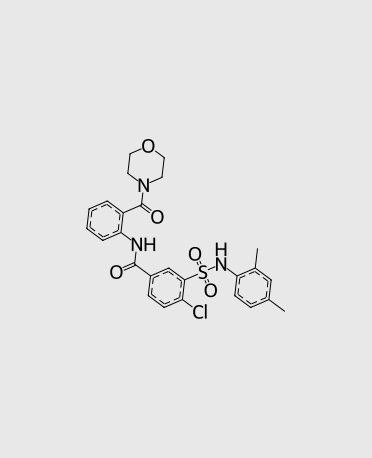 Cc1ccc(NS(=O)(=O)c2cc(C(=O)Nc3ccccc3C(=O)N3CCOCC3)ccc2Cl)c(C)c1